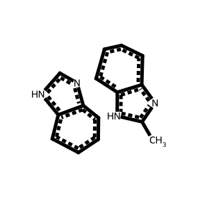 Cc1nc2ccccc2[nH]1.c1ccc2[nH]cnc2c1